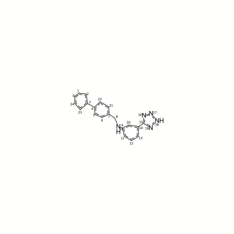 c1ccc(-c2ccc(CNc3cccc(-c4nn[nH]n4)c3)cc2)cc1